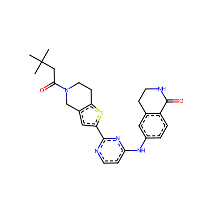 CC(C)(C)CC(=O)N1CCc2sc(-c3nccc(Nc4ccc5c(c4)CCNC5=O)n3)cc2C1